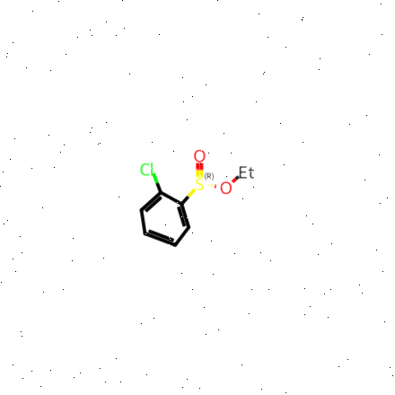 CCO[S@@](=O)c1ccccc1Cl